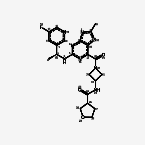 Cc1nc2nc(N[C@@H](C)c3cncc(F)c3)nc(C(=O)N3CC(NC(=O)C4CCOC4)C3)c2s1